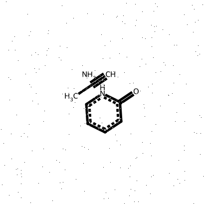 C#CC.N.O=c1cccc[nH]1